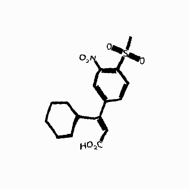 CS(=O)(=O)c1ccc(/C(=C/C(=O)O)C2CCCCC2)cc1[N+](=O)[O-]